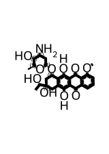 COc1cccc2c1C(=O)c1c(O)c3c(c(O)c1C2=O)C[C@@](O)(C(C)O)C[C@@H]3O[C@H]1C[C@H](N)[C@H](O)[C@H](C)O1